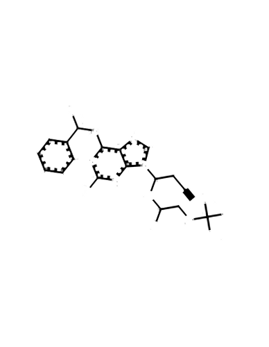 C#CCC(OC(C)COC(C)(C)C(=O)O)n1cnc2c(NC(C)c3ccccc3)nc(C)nc21